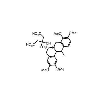 COc1cc2c(cc1OC)C1C(C)c3ccc(OC)c(OC)c3CN1CC2.O=C(O)CC(O)(CC(=O)O)C(=O)O